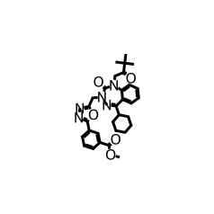 COC(=O)c1cccc(-c2nnc(CN3N=C(C4CCCCC4)c4ccccc4N(CC(=O)C(C)(C)C)C3=O)o2)c1